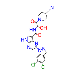 N#CC1CCN(C(=O)[C@@H](O)NC(=O)c2c[nH]c3ncc(-n4ncc5cc(Cl)c(Cl)cc54)nc23)CC1